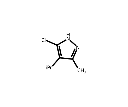 Cc1n[nH]c(Cl)c1C(C)C